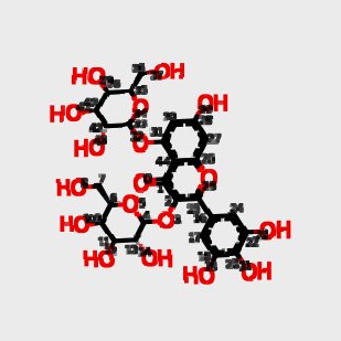 O=c1c(OC2O[C@H](CO)[C@H](O)[C@H](O)[C@H]2O)c(-c2cc(O)c(O)c(O)c2)oc2cc(O)cc(OC3O[C@H](CO)[C@H](O)[C@H](O)[C@H]3O)c12